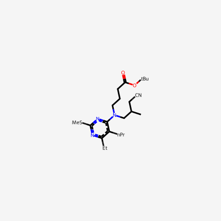 CCCc1c(CC)nc(SC)nc1N(CCCC(=O)OC(C)(C)C)CC(C)CC#N